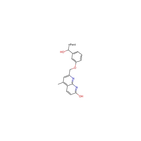 CCCCCC(O)c1cccc(OCc2cc(C)c3ccc(O)nc3n2)c1